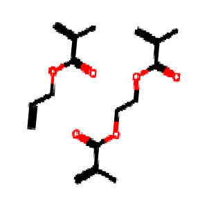 C=C(C)C(=O)OCCOC(=O)C(=C)C.C=CCOC(=O)C(=C)C